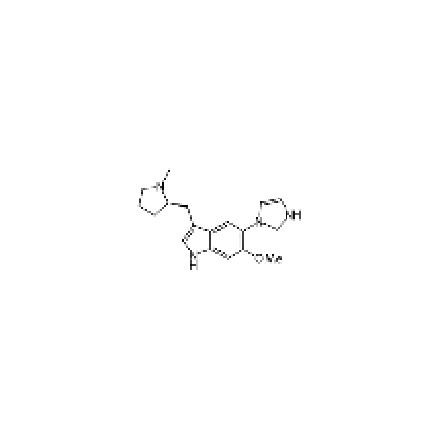 COc1cc2[nH]cc(C[C@H]3CCCN3C)c2cc1N1C=CNC1